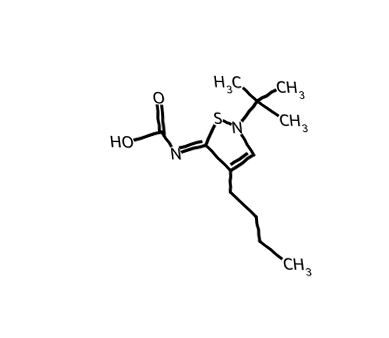 CCCCc1cn(C(C)(C)C)s/c1=N\C(=O)O